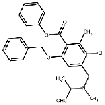 Cc1c(Cl)c(CN(C)C(C)C=O)cc(OCc2ccccc2)c1C(=O)Oc1ccccc1